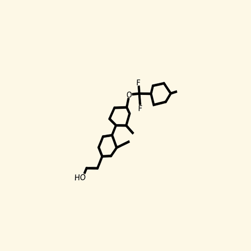 CC1CCC(C(F)(F)OC2CCC(C3CCC(CCO)CC3C)C(C)C2)CC1